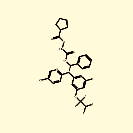 O=C(NOC(=O)C1CCCC1)NC(c1ccccc1)[C@@H](c1cc(F)cc(OC(F)(F)C(F)F)c1)c1ccc(Cl)cn1